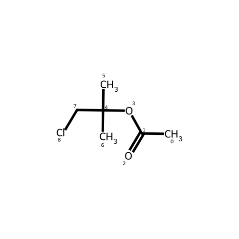 CC(=O)OC(C)(C)CCl